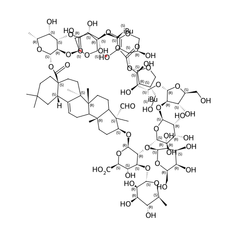 CC[C@H](C)[C@H](C[C@H](O)CC(=O)O[C@H]1[C@@H](O)[C@@H](C)O[C@@H](OC(=O)[C@]23CCC(C)(C)C[C@H]2C2=CCC4[C@@]5(C)CC[C@H](O[C@@H]6O[C@H](C(=O)O)[C@@H](O)[C@H](O[C@@H]7O[C@@H](C)[C@H](O)[C@@H](O)[C@H]7O)[C@H]6O[C@@H]6O[C@H](CO)[C@H](O)[C@H](O)[C@H]6O)[C@@](C)(C=O)C5CC[C@@]4(C)[C@]2(C)CC3)[C@@H]1O[C@@H]1O[C@@H](C)[C@H](OC2=C(O)[C@@H](O[C@@H]3OC[C@H](CO)[C@H]3O)[C@H](O)CO2)[C@@H](O)[C@H]1O)OC(=O)C[C@@H](O)C[C@H](O[C@@H]1O[C@@H](CO)[C@H](O)[C@H]1O[C@@H]1O[C@@H](C)[C@H](O)[C@@H](O)[C@H]1O)[C@@H](C)CC